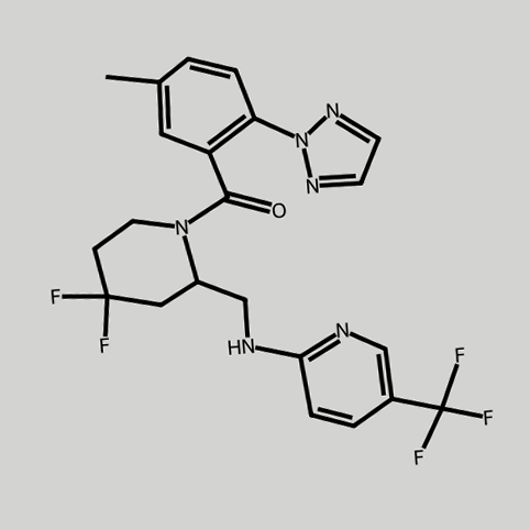 Cc1ccc(-n2nccn2)c(C(=O)N2CCC(F)(F)CC2CNc2ccc(C(F)(F)F)cn2)c1